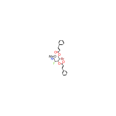 CON=CC(F)C(OC(=O)C=Cc1ccccc1)C(Br)COC(=O)C=Cc1ccccc1